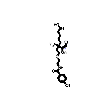 CC/C=C(/O)C(N)(CCCCNO)CCOCCNC(=O)c1ccc(C#N)cc1